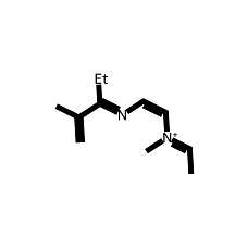 C=C(C)/C(CC)=N/C=C\[N+](C)=C\C